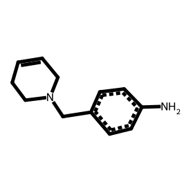 Nc1ccc(CN2CC=CCC2)cc1